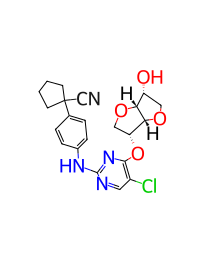 N#CC1(c2ccc(Nc3ncc(Cl)c(O[C@@H]4CO[C@H]5[C@@H]4OC[C@H]5O)n3)cc2)CCCC1